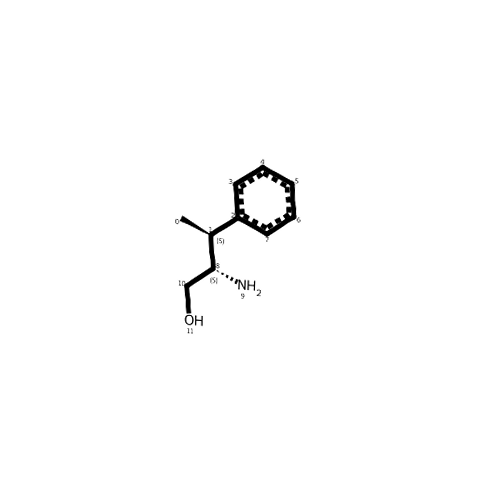 C[C@@H](c1ccccc1)[C@H](N)CO